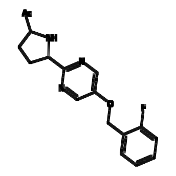 CC(=O)C1CCC(c2ncc(OCc3ccccc3F)cn2)N1